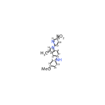 COc1ccc(Nc2ccc3c(c2)c(C)cn3-c2ccc([N+](=O)[O-])cn2)cc1